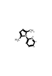 Cc1ccc(C)n1-c1ccccn1